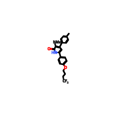 CNc1c(-c2ccc(C)cc2)cc(-c2ccc(OCCCC(F)(F)F)cc2)[nH]c1=O